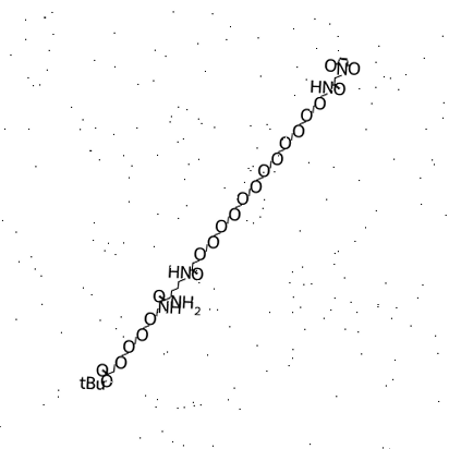 CC(C)(C)OC(=O)CCOCCOCCOCCOCCNC(=O)[C@@H](N)CCCCNC(=O)CCOCCOCCOCCOCCOCCOCCOCCOCCOCCOCCOCCOCCNC(=O)CCN1C(=O)C=CC1=O